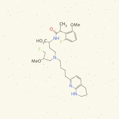 COc1cccc(F)c1C(C)C(=O)NC(CCN(CCCCc1ccc2c(n1)NCCC2)CC(CF)OC)C(=O)O